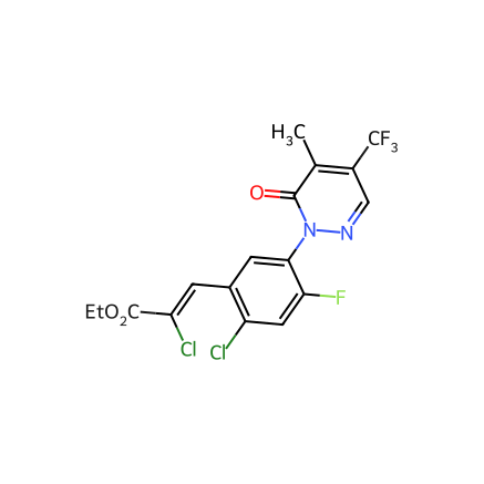 CCOC(=O)/C(Cl)=C/c1cc(-n2ncc(C(F)(F)F)c(C)c2=O)c(F)cc1Cl